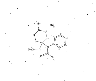 CCCN1CCC(COC)(N(C(=O)CC)c2ccccc2)CC1.Cl